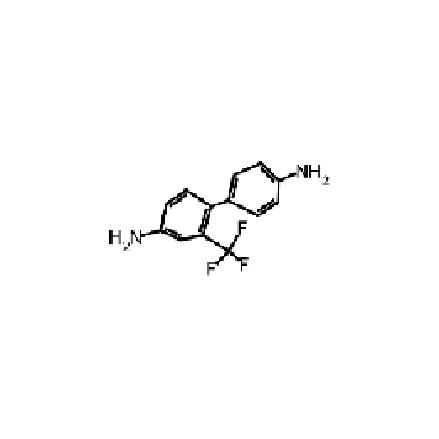 Nc1ccc(-c2ccc(N)cc2C(F)(F)F)cc1